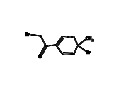 CC1(Br)C=CC(C(=O)CBr)=CC1